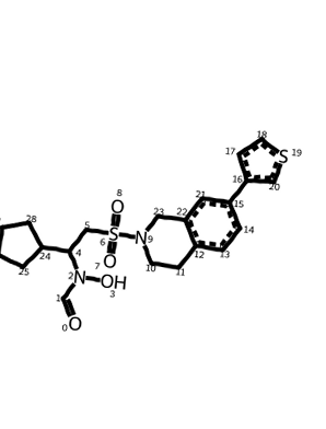 O=CN(O)C(CS(=O)(=O)N1CCc2ccc(-c3ccsc3)cc2C1)C1CCCC1